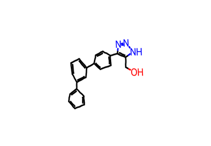 OCc1[nH]nnc1-c1ccc(-c2cccc(-c3ccccc3)c2)cc1